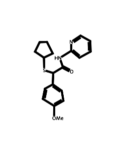 COc1ccc(C(SC2CCCC2)C(=O)Nc2ccccn2)cc1